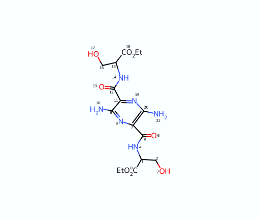 CCOC(=O)C(CO)NC(=O)c1nc(N)c(C(=O)NC(CO)C(=O)OCC)nc1N